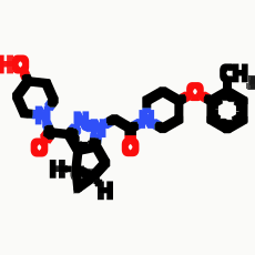 Cc1ccccc1OC1CCN(C(=O)Cn2nc(C(=O)N3CCC(O)CC3)c3c2C[C@H]2C[C@@H]32)CC1